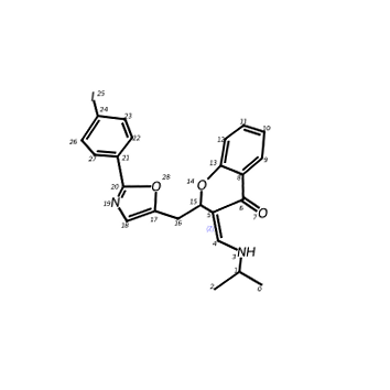 CC(C)N/C=C1\C(=O)c2ccccc2OC1Cc1cnc(-c2ccc(I)cc2)o1